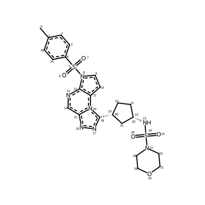 Cc1ccc(S(=O)(=O)n2ccc3c2ncc2nnc([C@@H]4CC[C@H](NS(=O)(=O)N5CCOCC5)C4)n23)cc1